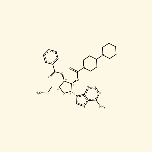 CSC[C@H]1O[C@@H](n2cnc3c(N)ncnc32)[C@H](OC(=O)N2CCC(N3CCCCC3)CC2)[C@@H]1OC(=O)c1ccccc1